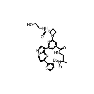 CCN(CC)C(C)CNC(=O)c1cc(-c2cnn3ccc(-c4cccs4)nc23)nc(N2CC[C@H]2C(=O)NCCO)c1